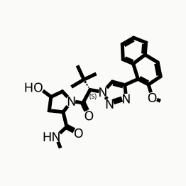 CNC(=O)C1CC(O)CN1C(=O)[C@@H](n1cc(-c2c(OC)ccc3ccccc23)nn1)C(C)(C)C